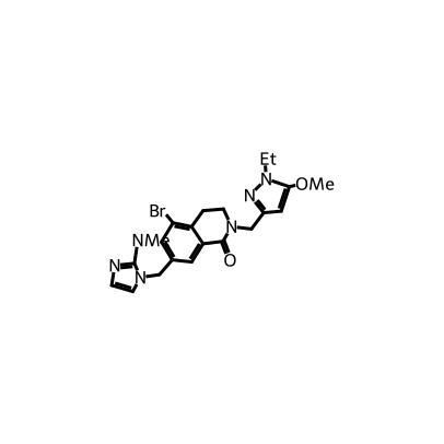 CCn1nc(CN2CCc3c(Br)cc(Cn4ccnc4NC)cc3C2=O)cc1OC